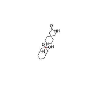 O=C1CC2(CCN(C3CC4CCCC(C3)N4C(=O)O)CC2)CN1